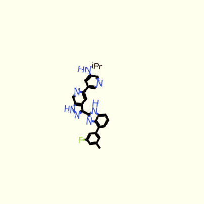 Cc1cc(F)cc(-c2cccc3[nH]c(-c4n[nH]c5cnc(-c6cncc(NC(C)C)c6)cc45)nc23)c1